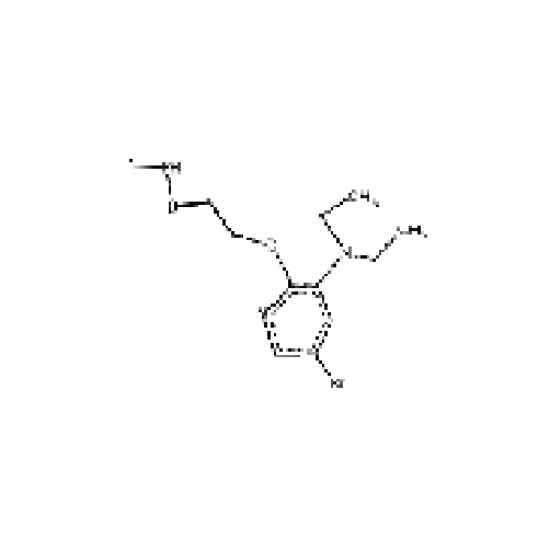 CCN(CC)c1cc(Br)cnc1OCCOPI